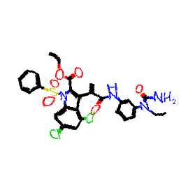 C=C(C(=O)Nc1cccc(N(CC)C(N)=O)c1)c1c(C(=O)OCC)n(S(=O)(=O)c2ccccc2)c2cc(Cl)cc(Cl)c12